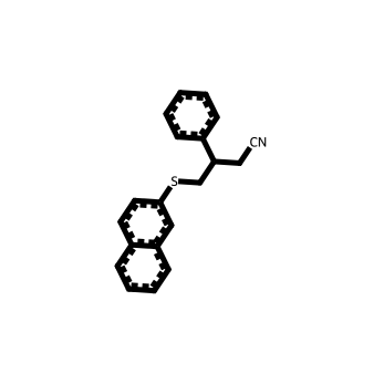 N#CCC(CSc1ccc2ccccc2c1)c1ccccc1